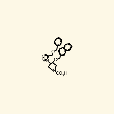 O=C(O)N1CCC(n2nncc2COCc2ccccc2)C(OCc2ccc3ccccc3c2)C1